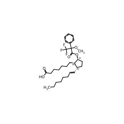 CCCCCCC=C[C@H]1CC[C@H](OC(=O)C(OC)(c2ccccc2)C(F)(F)F)[C@@H]1CCCCCCC(=O)O